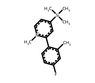 Cc1cc(F)ccc1-c1cc([Si](C)(C)C)cc[n+]1C